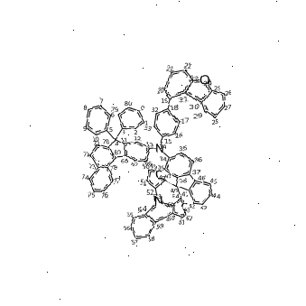 c1ccc(C2(c3ccccc3)c3cc(N(c4ccc(-c5cccc6oc7ccccc7c56)cc4)c4ccc5c(c4)C4(c6ccccc6-5)c5ccccc5-n5c6ccccc6c6cccc4c65)ccc3-c3c2ccc2ccccc32)cc1